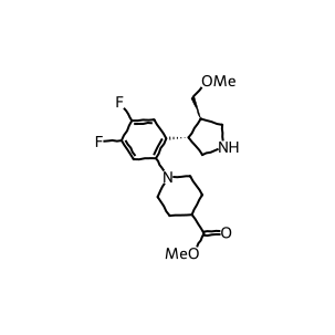 COC[C@H]1CNC[C@@H]1c1cc(F)c(F)cc1N1CCC(C(=O)OC)CC1